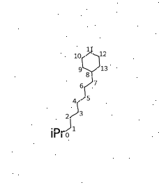 CC(C)CCCCCCCC1CCCCC1